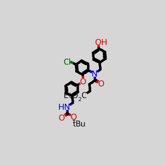 CCOC(=O)CCC(=O)N(Cc1ccc(O)cc1)c1ccc(Cl)cc1Oc1cccc(CNC(=O)OC(C)(C)C)c1